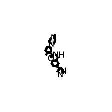 Cc1ccc(N2CCN(C)CC2)cc1C(=O)N[C@H](C)c1cccc(-c2cncnc2)c1